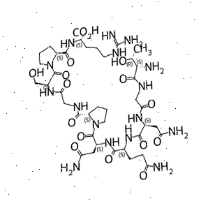 C[C@@H](O)[C@H](N)C(=O)NCC(=O)N[C@@H](CC(N)=O)C(=O)N[C@@H](CCC(N)=O)C(=O)N[C@@H](CC(N)=O)C(=O)N1CCC[C@H]1C(=O)NCC(=O)N[C@@H](CO)C(=O)N1CCC[C@H]1C(=O)N[C@@H](CCCNC(=N)N)C(=O)O